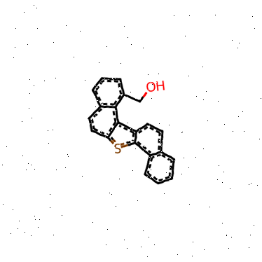 OCc1cccc2ccc3sc4c5ccccc5ccc4c3c12